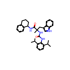 CC(C)c1cccc(C(C)C)c1NC(=O)NC(C)(Cc1c[nH]c2ccccc12)C(=O)NC1CCCc2ccccc21